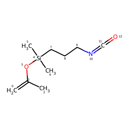 C=C(C)O[Si](C)(C)CCCN=C=O